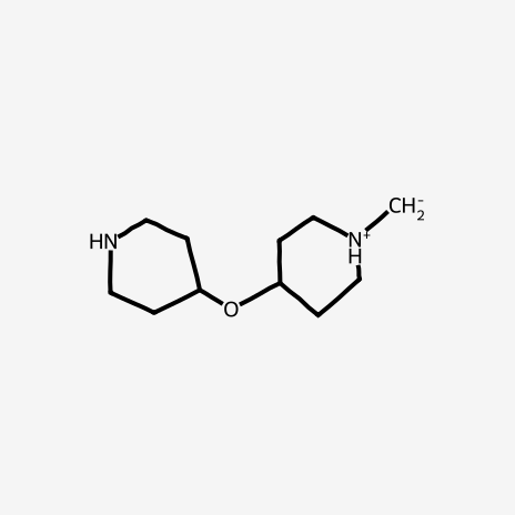 [CH2-][NH+]1CCC(OC2CCNCC2)CC1